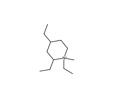 CCC1CC[N+](C)(CC)C(CC)C1